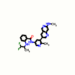 CNc1cc2ncc(-c3cc(NC(=O)c4ccccc4NC(C)C(F)F)cnc3C)cc2cn1